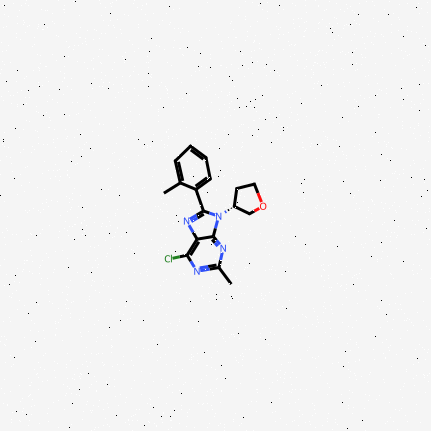 Cc1nc(Cl)c2nc(-c3ccccc3C)n([C@@H]3CCOC3)c2n1